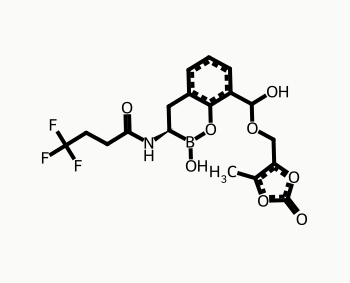 Cc1oc(=O)oc1COC(O)c1cccc2c1OB(O)[C@@H](NC(=O)CCC(F)(F)F)C2